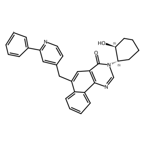 O=c1c2cc(Cc3ccnc(-c4c[c]ccc4)c3)c3ccccc3c2ncn1[C@H]1CCCC[C@@H]1O